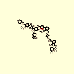 O=C1CCC(N2C(=O)c3cccc(NCCN4CC(COc5cccc(-c6ccc(Cl)cc6)c5CN5CCN(c6ccc(C(=O)NS(=O)(=O)c7ccc(NCC8CCOCC8)c([N+](=O)[O-])c7)c(Oc7cnc8[nH]ccc8c7)c6)CC5)C4)c3C2=O)C(=O)N1